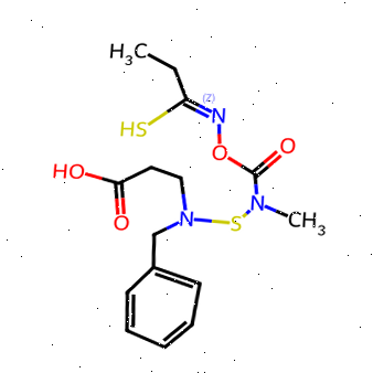 CC/C(S)=N/OC(=O)N(C)SN(CCC(=O)O)Cc1ccccc1